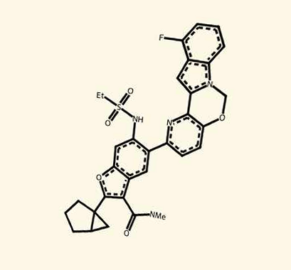 CCS(=O)(=O)Nc1cc2oc(C34CCCC3C4)c(C(=O)NC)c2cc1-c1ccc2c(n1)-c1cc3c(F)cccc3n1CO2